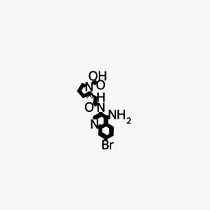 Nc1c(NC(=O)C[C@H]2CCCN2C(=O)O)cnc2cc(Br)ccc12